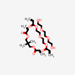 C=CC(=O)OCC(C)(C)COC(=O)C=C.C=CC(=O)OCCOCCOC(=O)C=C.OCCOCCOCCO